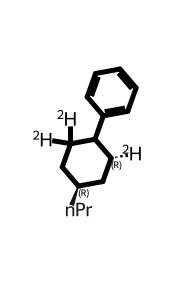 [2H][C@@H]1C[C@@H](CCC)CC([2H])([2H])C1c1ccccc1